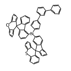 c1ccc(-c2cccc(-c3ccc(N(c4ccc5c(c4)C4(c6ccccc6Sc6ccccc64)c4ccccc4-5)c4cccc5c4-c4ccccc4C54c5ccccc5Oc5ccccc54)cc3)c2)cc1